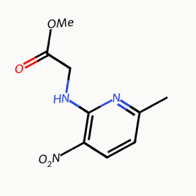 COC(=O)CNc1nc(C)ccc1[N+](=O)[O-]